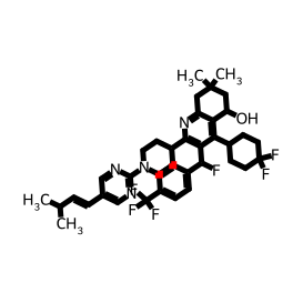 CC(C)C=Cc1cnc(N2CCC(c3nc4c(c(C5CCC(F)(F)CC5)c3C(F)c3ccc(C(F)(F)F)cc3)C(O)CC(C)(C)C4)CC2)nc1